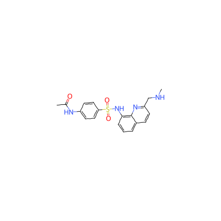 CNCc1ccc2cccc(NS(=O)(=O)c3ccc(NC(C)=O)cc3)c2n1